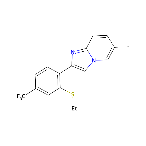 CCSc1cc(C(F)(F)F)ccc1-c1cn2cc(C)ccc2n1